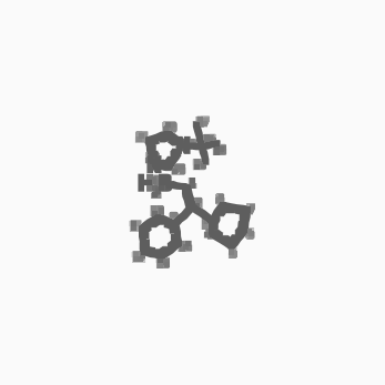 BC=C(c1ccccc1)c1ccccc1.CC(C)(C)n1ccnc1